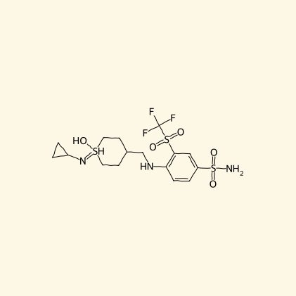 NS(=O)(=O)c1ccc(NCC2CC[SH](O)(=NC3CC3)CC2)c(S(=O)(=O)C(F)(F)F)c1